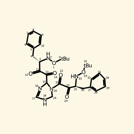 CC(C)(C)ON[C@@H](Cc1ccccc1)C(=O)C(=O)C1N=CNCN1C(=O)C(=O)[C@H](Cc1ccccc1)NOC(C)(C)C